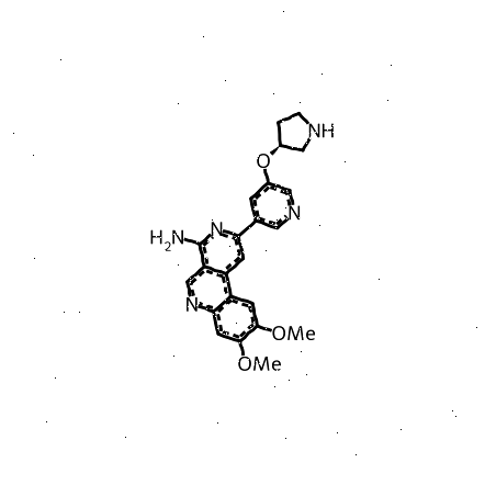 COc1cc2ncc3c(N)nc(-c4cncc(O[C@H]5CCNC5)c4)cc3c2cc1OC